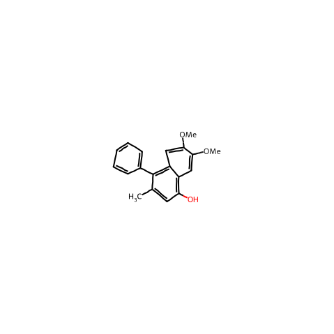 COc1cc2c(O)cc(C)c(-c3ccccc3)c2cc1OC